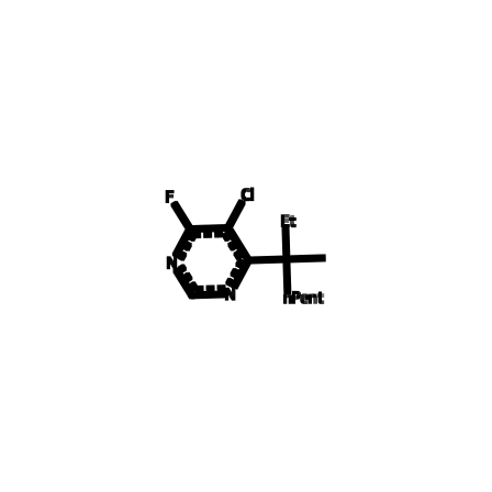 CCCCCC(C)(CC)c1ncnc(F)c1Cl